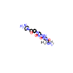 CC(C)(N)C(=O)N1CCN(C(=O)Nc2ccn(-c3ccc4c(c3)OCC(N3CCCC(N)CC3)C4)c(=O)n2)CC1